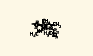 C=N/C=c1/nc(CC(=C)NCC2(C)CCC2)n(C)/c1=C1\C=CC1